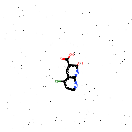 O=C(O)c1cc2c(Cl)ccnc2nc1O